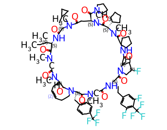 CC[C@H](C)[C@@H]1NC(=O)[C@H](CC2CC2)N(C)C(=O)C[C@@H](C(=O)N2CCCC2)N(C)C(=O)[C@H](C2CCCC2)N(C)C(=O)C2(CCCC2)NC(=O)[C@@H]2C[C@@H](F)CN2C(=O)[C@H](CCc2cc(F)c(C(F)(F)F)c(F)c2)NC(=O)CN(C)C(=O)[C@H](Cc2ccc(C(F)(F)F)cc2)N2CC/C=C\C[C@@H](C2=O)N(C)C(=O)CN(C)C1=O